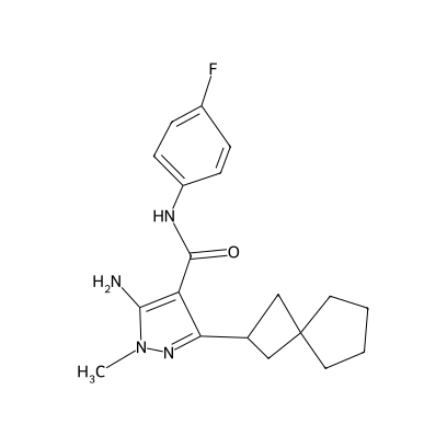 Cn1nc(C2CC3(CCCC3)C2)c(C(=O)Nc2ccc(F)cc2)c1N